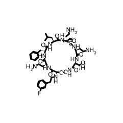 CC(C)C[C@@H]1NC(=O)[C@@H](Cc2ccccc2)NC(=O)[C@H](CCN)NC(=O)[C@@H](NCCc2cccc(F)c2)CCNC(=O)[C@H]([C@@H](C)O)NC(=O)[C@H](CCN)NC[C@@](C=O)(CCN)NC1=O